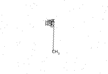 CCCCCCCCCCCCCCCCCCCCCCCC(CC)C(C(=O)O)C(=O)O